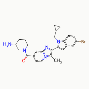 Cc1c(-c2cc3cc(Br)ccc3n2CC2CC2)nc2cc(C(=O)N3CCC[C@@H](N)C3)ccn12